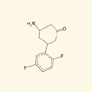 NC1CC(=O)CC(c2cc(F)ccc2F)C1